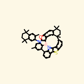 Cc1cc2c3c(c1)N(c1cc4c(cc1C)C(C)(C)CCC4(C)C)c1oc4cc5c6cc4c1B3n1c3c-2cccc3c2sc3ccc(cc3c21)C6(C)CCC5(C)C